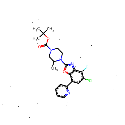 CC1CN(C(=O)OC(C)(C)C)CCN1c1nc2c(F)c(Cl)cc(-c3ccccn3)c2o1